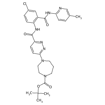 Cc1ccc(NC(=O)c2cc(Cl)ccc2NC(=O)c2ccc(N3CCCN(C(=O)OC(C)(C)C)CC3)nn2)nc1